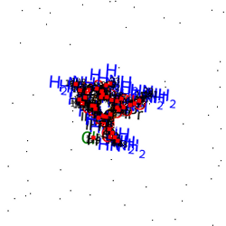 CC(C)C[C@H](NC(=O)CNC(=O)CNC(=O)[C@@H](N)CCNC(=N)N)C(=O)N[C@H]1CSSC[C@@H](C(=O)N[C@H](C(=O)NCC(=O)N[C@@H](CCNC(=N)N)C(N)=O)C(C)C)NC(=O)[C@H](C(C)C)NC(=O)[C@@H]2CSSC[C@H](NC(=O)[C@H](Cc3ccc(O)cc3)NC1=O)C(=O)N[C@@H](CCCCNC(=N)N)C(=O)NCC(=O)N[C@@H](CCCCNC(=N)N)C(=O)N[C@@H](Cc1ccccc1)C(=O)N2.[Cl-].[H+]